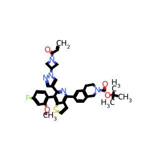 C=CC(=O)N1CC(n2cc(-c3nc(-c4ccc5c(c4)CCN(C(=O)OC(C)(C)C)C5)c4ccsc4c3-c3ccc(F)cc3OC)cn2)C1